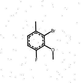 COc1c(F)ccc(C)c1Br